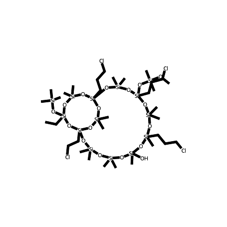 CC[Si]1(O[Si](C)(C)C)O[Si](C)(C)O[Si]2(CCCCl)O[Si](C)(C)O[Si](CCCCl)(O[Si](C)(C)OC)O[Si](C)(C)O[Si](C)(CCCCl)O[Si](C)(O)O[Si](C)(C)O[Si](C)(C)O[Si](CCCl)(O[Si](C)(C)O2)O1